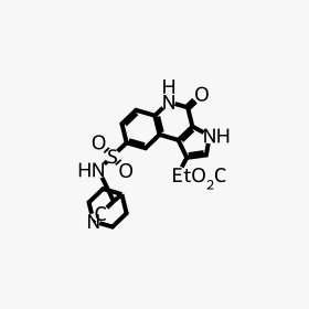 CCOC(=O)c1c[nH]c2c(=O)[nH]c3ccc(S(=O)(=O)NC4CN5CCC4CC5)cc3c12